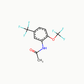 CC(=O)Nc1cc(C(F)(F)F)ccc1OC(F)(F)F